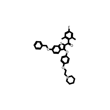 Cc1cc(F)cc(C)c1C(=O)c1sc2cc(OCc3ccccc3)ccc2c1Oc1ccc(OCCN2CCCCC2)cc1